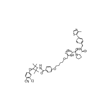 Cc1ncsc1-c1ccc(CNC(=O)[C@@H]2CCCN2C(=O)[C@@H](NC(=O)COCCCCOc2ccc(C(=O)N[C@H]3C(C)(C)[C@H](Oc4ccc(C#N)c(Cl)c4)C3(C)C)cc2)C(C)(C)C)cc1